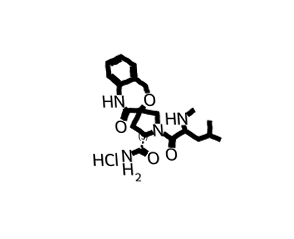 CNC(CC(C)C)C(=O)N1CC2(C[C@H]1C(N)=O)OCc1ccccc1NC2=O.Cl